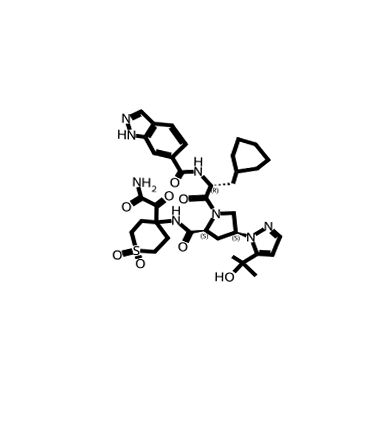 CC(C)(O)c1ccnn1[C@H]1C[C@@H](C(=O)NC2(C(=O)C(N)=O)CCS(=O)(=O)CC2)N(C(=O)[C@@H](CC2CCCCC2)NC(=O)c2ccc3cn[nH]c3c2)C1